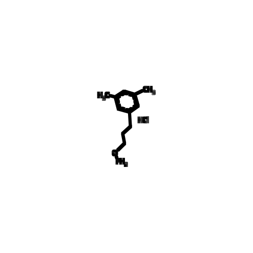 Cc1cc(C)cc(CCCOP)c1.Cl